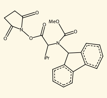 COC(=O)N(C1c2ccccc2-c2ccccc21)C(C(=O)ON1C(=O)CCC1=O)C(C)C